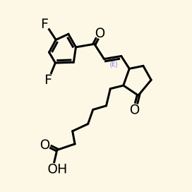 O=C(O)CCCCCCC1C(=O)CCC1/C=C/C(=O)c1cc(F)cc(F)c1